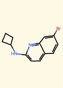 Brc1ccc2ccc(NC3CCC3)nc2c1